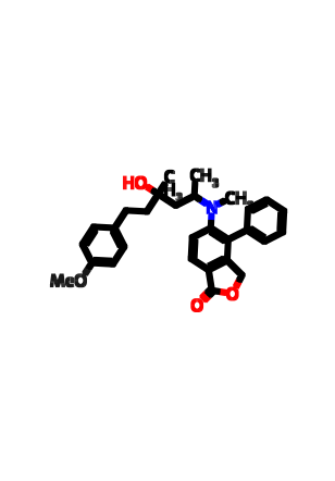 COc1ccc(CCC(C)(O)CC(C)N(C)c2ccc3c(c2-c2ccccc2)COC3=O)cc1